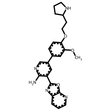 COc1cc(-c2cnc(N)c(-c3nc4cccnc4o3)c2)ccc1OCCC1CCCN1